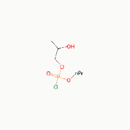 CCCOP(=O)(Cl)OCC(C)O